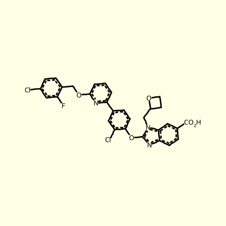 O=C(O)c1ccc2nc(Oc3ccc(-c4cccc(OCc5ccc(Cl)cc5F)n4)cc3Cl)n(CC3CCO3)c2c1